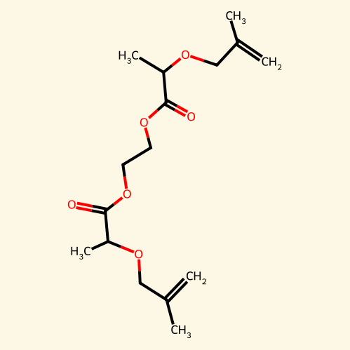 C=C(C)COC(C)C(=O)OCCOC(=O)C(C)OCC(=C)C